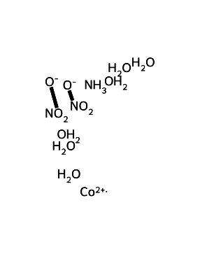 N.O.O.O.O.O.O.O=[N+]([O-])[O-].O=[N+]([O-])[O-].[Co+2]